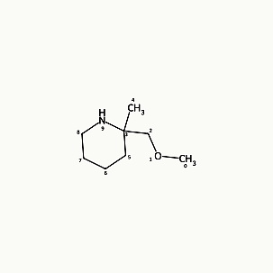 COCC1(C)CCCCN1